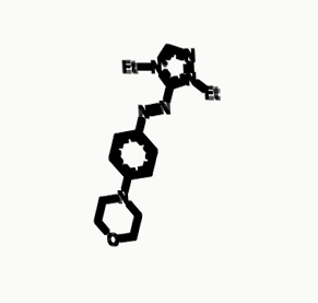 CCn1nc[n+](CC)c1/N=N/c1ccc(N2CCOCC2)cc1